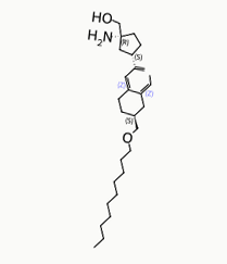 C=C(/C=C1/CC[C@H](COCCCCCCCCCC)C/C1=C/C)[C@H]1CC[C@](N)(CO)C1